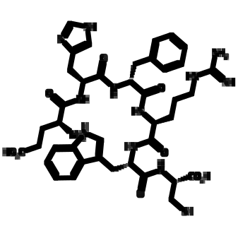 N=C(N)NCCC[C@H](NC(=O)[C@@H](Cc1ccccc1)NC(=O)[C@H](Cc1c[nH]cn1)NC(=O)[C@@H](N)CCC(=O)O)C(=O)N[C@@H](Cc1c[nH]c2ccccc12)C(=O)N[C@@H](CS)C(=O)O